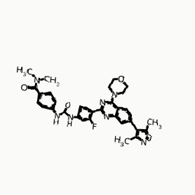 Cc1noc(C)c1-c1ccc2c(N3CCOCC3)nc(-c3ccc(NC(=O)Nc4ccc(C(=O)N(C)C)cc4)cc3F)nc2c1